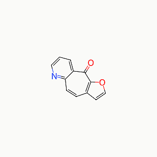 O=c1c2cccnc2ccc2ccoc12